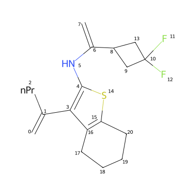 C=C(CCC)c1c(NC(=C)C2CC(F)(F)C2)sc2c1CCCC2